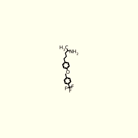 CC(N)CCCc1ccc(OCc2ccc(C(F)(F)F)cc2)cc1